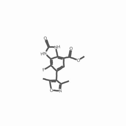 COC(=O)c1cc(-c2c(C)noc2C)c(F)c2[nH]c(=O)[nH]c12